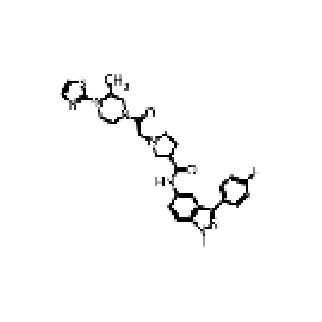 C[C@H]1CN(C(=O)CN2CCC(C(=O)Nc3ccc4[nH]nc(-c5ccc(F)cc5)c4c3)C2)CCN1c1nccs1